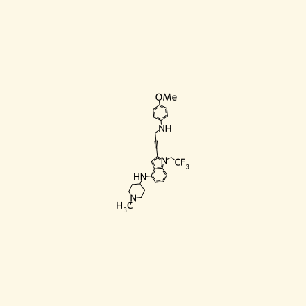 COc1ccc(NCC#Cc2cc3c(NC4CCN(C)CC4)cccc3n2CC(F)(F)F)cc1